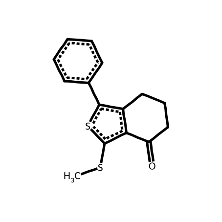 CSc1sc(-c2ccccc2)c2c1C(=O)CCC2